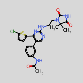 CC(=O)Nc1cccc(-c2cnc(NCCN3C(=O)NC(=O)C3(C)C)nc2-c2ccc(Cl)s2)c1